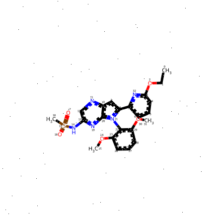 CCOc1cccc(-c2cc3ncc(NS(C)(=O)=O)nc3n2-c2c(OC)cccc2OC)n1